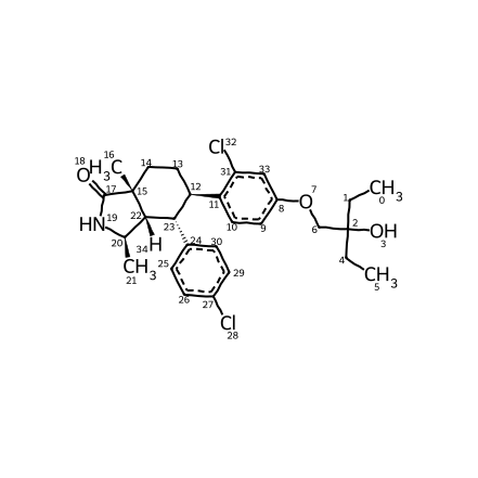 CCC(O)(CC)COc1ccc([C@@H]2CC[C@@]3(C)C(=O)N[C@H](C)[C@H]3[C@H]2c2ccc(Cl)cc2)c(Cl)c1